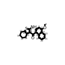 COc1ccc(C(=O)c2c(N)sc3c2CCCC3)c2ccccc12